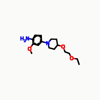 CCOCCOC1CCN(c2ccc(N)c(OC)c2)CC1